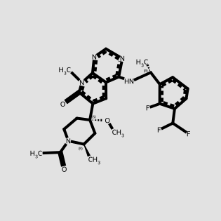 CO[C@@]1(c2cc3c(N[C@H](C)c4cccc(C(F)F)c4F)ncnc3n(C)c2=O)CCN(C(C)=O)[C@H](C)C1